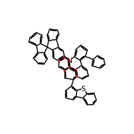 c1ccc(-c2ccccc2-c2c(-c3ccccc3)cccc2N(c2ccc(-c3cccc4c3sc3ccccc34)cc2)c2ccc3c(c2)-c2ccccc2C32c3ccccc3-c3ccccc32)cc1